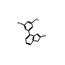 CC(C)(C)c1cc(-c2cccc3c2C=C(Br)C3)cc(C(C)(C)C)c1